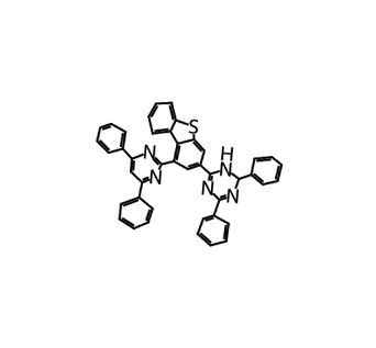 c1ccc(C2=NC(c3ccccc3)NC(c3cc(-c4nc(-c5ccccc5)cc(-c5ccccc5)n4)c4c(c3)sc3ccccc34)=N2)cc1